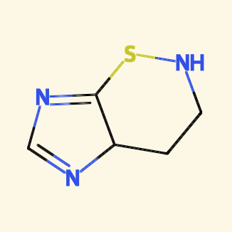 C1=NC2CCNSC2=N1